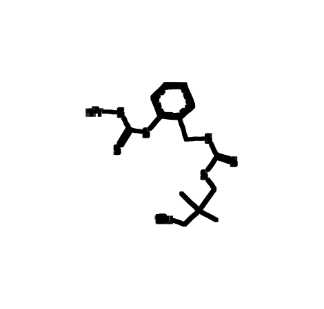 CCCSC(=S)Sc1ccccc1CSC(=S)SCC(C)(C)CC(C)(C)C